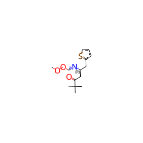 COO/C=N/[C@H](CC(=O)C(C)(C)C)Cc1cccs1